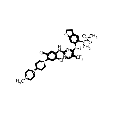 CN1CCN(C2CCN(c3cc(Cl)c(Nc4ncc(C(F)(F)F)c(Nc5cc6c(cc5N(C)S(C)(=O)=O)CCO6)n4)cc3Cl)CC2)CC1